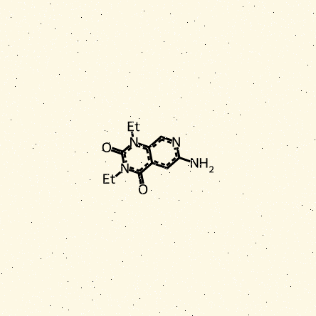 CCn1c(=O)c2cc(N)ncc2n(CC)c1=O